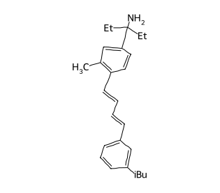 CCC(C)c1cccc(/C=C/C=C/c2ccc(C(N)(CC)CC)cc2C)c1